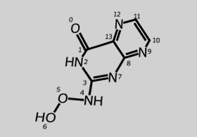 O=c1[nH]c(NOO)nc2nccnc12